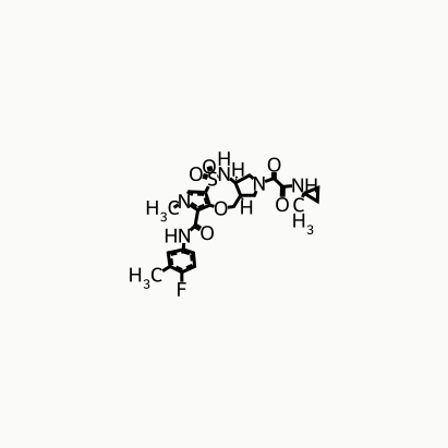 Cc1cc(NC(=O)c2c3c(cn2C)S(=O)(=O)N[C@H]2CN(C(=O)C(=O)NC4(C)CC4)C[C@H]2CO3)ccc1F